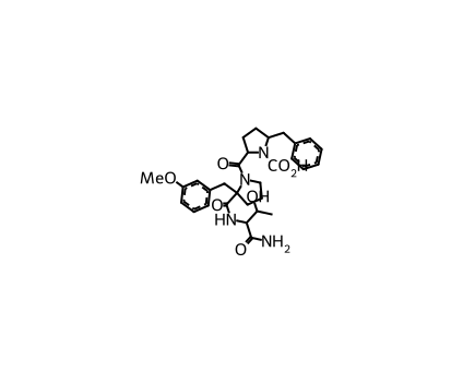 COc1cccc(CC2(C(=O)NC(C(N)=O)C(C)O)CCCN2C(=O)C2CCC(Cc3ccccc3)N2C(=O)O)c1